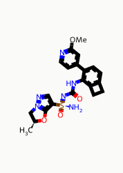 COc1cc(-c2ccc3c(c2NC(=O)N=[S@@](N)(=O)c2cnn4c2O[C@H](C)C4)CC3)ccn1